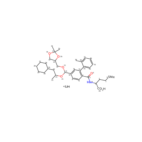 CSCCC(NC(=O)c1ccc(C(OCC2COC(C)(C)O2)OC(C)CC2CCCCC2)cc1-c1ccccc1C)C(=O)O.[LiH]